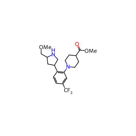 COCC1CC(c2ccc(C(F)(F)F)cc2N2CCC(C(=O)OC)CC2)CN1